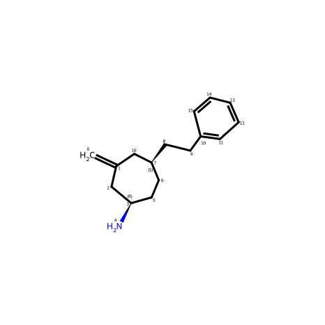 C=C1C[C@H](N)CC[C@H](CCc2ccccc2)C1